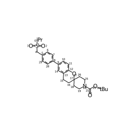 CC(C)S(=O)(=O)Cc1ccc(-c2ccc3c(c2)CCC2(CCN(C(=O)OC(C)(C)C)CC2)O3)cc1